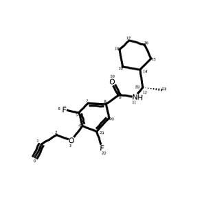 C#CCOc1c(F)cc(C(=O)N[C@@H](C)C2CCCCC2)cc1F